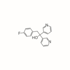 OC(Cc1ccc(F)cc1)(c1cccnc1)c1cccnc1